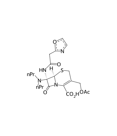 CCCN(CCC)[C@]1(NC(=O)Cc2ncco2)C(=O)N2C(C(=O)O)=C(COC(C)=O)CS[C@@H]21